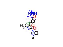 Cc1cc(Oc2cc(I)c(C(=O)Nc3nnn[nH]3)cc2Cl)c(C(=O)N2CCN(C3CC3)c3ccccc32)cn1